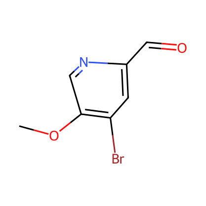 COc1cnc(C=O)cc1Br